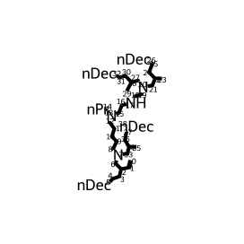 C=CC(CCCCCCCCCCCC)CN(CCCCCN(CCC)CCNCCN(CC(C)CCCCCCCCCCCC)CC(C)CCCCCCCCCCCC)CC(C)CCCCCCCCCCCC